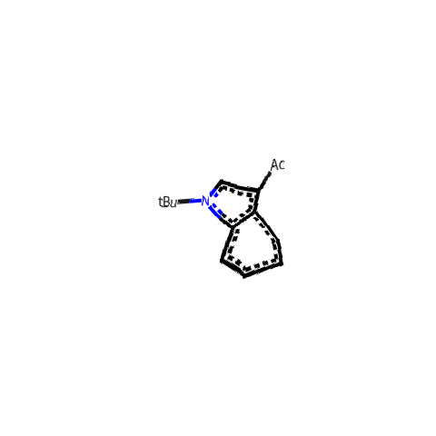 CC(=O)c1cn(C(C)(C)C)c2ccccc12